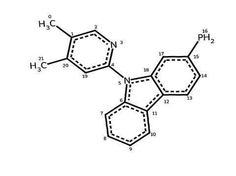 Cc1cnc(-n2c3ccccc3c3ccc(P)cc32)cc1C